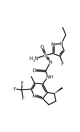 CCn1cc(F)c(S(N)(=O)=NC(=O)Nc2c(C)c(C(F)(F)F)nc3c2[C@@H](C)CC3)n1